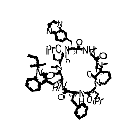 C=CC(C)(C)n1cc(C[C@@H]2NC(=O)[C@H](Cc3ccccc3)NC(=O)[C@H](CC(C)C)N3CCC[C@@H](C3=O)N(C)C(=O)[C@H](C)NC(=O)[C@H](Cc3ccc4nccnc4c3)NC(=O)[C@H](CC(C)C)N(C)C2=O)c2ccccc21